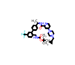 C[C@@H](NC(=O)c1cc(N2CCN(CC3CC3)CC2)ccn1)c1ccc(-c2cc(C(F)(F)F)ccc2CNC(=O)OC(C)(C)C)cc1